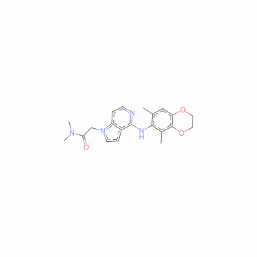 Cc1cc2c(c(C)c1Nc1nccc3c1ccn3CC(=O)N(C)C)OCCO2